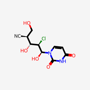 N#C[C@@H](CO)[C@@H](O)[C@@H](Cl)[C@H](O)n1ccc(=O)[nH]c1=O